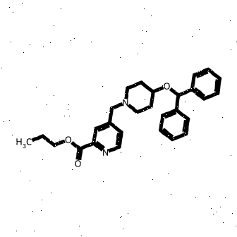 CCCOC(=O)c1cc(CN2CCC(OC(c3ccccc3)c3ccccc3)CC2)ccn1